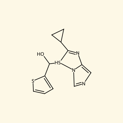 OC(c1cccs1)[SH]1C(C2CC2)=Nc2cncn21